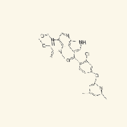 C=C(COC)N(C)c1c(NC=O)cnc2[nH]cc(C(=O)c3ccc(Oc4cc(C)cc(C)n4)cc3Cl)c12